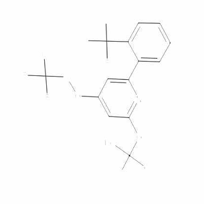 CC(C)(C)Oc1cc(OSC(F)(F)F)cc(-c2ccccc2C(F)(F)F)n1